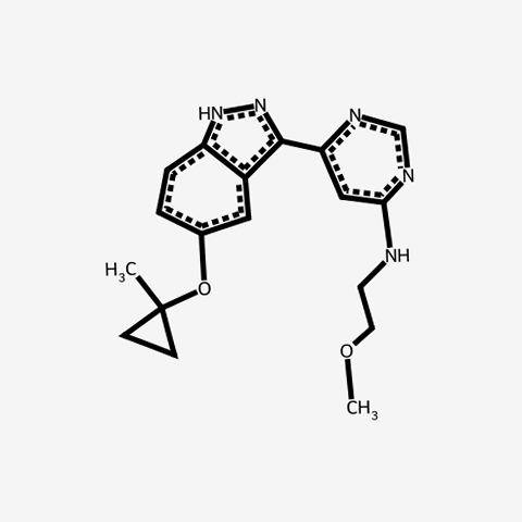 COCCNc1cc(-c2n[nH]c3ccc(OC4(C)CC4)cc23)ncn1